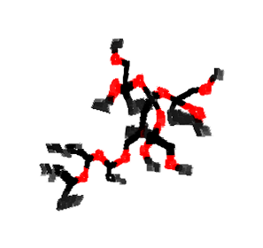 CCOCC(OC)(OCC)O[Si](CCCOC(C)OC(C)OC(C)OC)(OC(COCC)(OC)OCC)OC(COCC)(OC)OCC